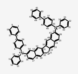 c1ccc(-c2ccc(N(c3ccccc3)c3ccc4cc5sc6cc7ccc(N(c8ccccc8)c8ccc(-c9ccccc9)cc8)cc7cc6c5cc4c3)cc2)cc1